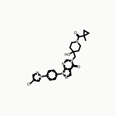 CC1(C(=O)N2CCC(O)(Cn3cnc4c(cnn4-c4ccc(-n5cc(Cl)cn5)cc4)c3=O)CC2)CC1